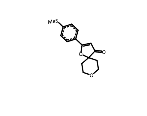 CSc1ccc(C2=CC(=O)C3(CCOCC3)O2)cc1